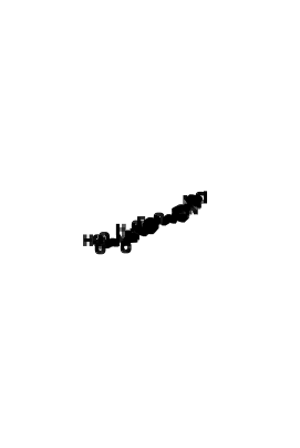 O=C(NCCCS(=O)(=O)O)C1CN(C(=O)Cc2ccc(OCCCC3CCN(c4ncc(Cl)cn4)CC3)cc2F)C1